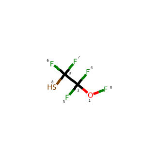 FOC(F)(F)C(F)(F)S